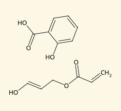 C=CC(=O)OCC=CO.O=C(O)c1ccccc1O